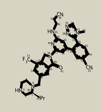 CC(C)[C@H]1CNCCN1Cc1cc2c(c(C(F)(F)F)c1)CN(c1cc(-c3cc(C#N)ccc3-c3nncn3C)cc(NCCC#N)n1)C2=O